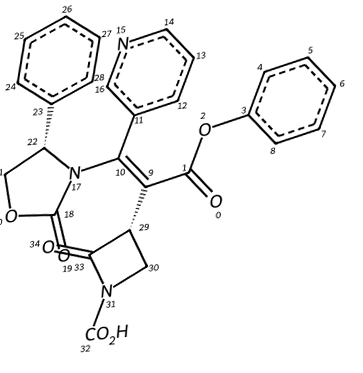 O=C(Oc1ccccc1)C(=C(c1cccnc1)N1C(=O)OC[C@@H]1c1ccccc1)[C@@H]1CN(C(=O)O)C1=O